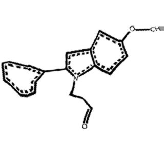 COc1ccc2c(c1)cc(-c1ccccc1)n2CC=O